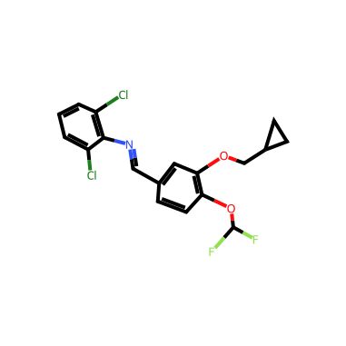 FC(F)Oc1ccc(C=Nc2c(Cl)cccc2Cl)cc1OCC1CC1